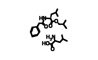 CC(C)COC(=O)[C@H](CC(C)C)NC(=O)Cc1ccccc1.CC(C)C[C@H](N)C(=O)O